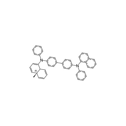 C[C@]12C=CC=CC1C(N(c1ccccc1)c1ccc(-c3ccc(N(c4ccccc4)c4cccc5ccccc45)cc3)cc1)=CC=C2